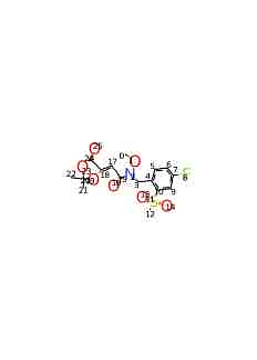 CON(Cc1ccc(F)cc1S(C)(=O)=O)C(=O)/C=C1\OC(C)(C)OC1=O